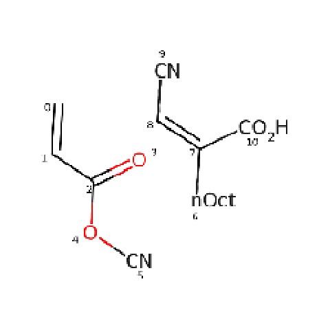 C=CC(=O)OC#N.CCCCCCCCC(=CC#N)C(=O)O